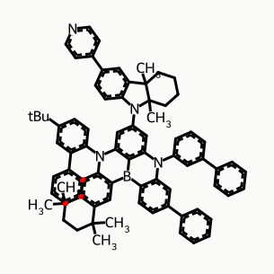 CC(C)(C)c1ccc(N2c3cc4c(cc3B3c5ccc(-c6ccccc6)cc5N(c5cccc(-c6ccccc6)c5)c5cc(N6c7ccc(-c8ccncc8)cc7C7(C)CCCCC67C)cc2c53)C(C)(C)CCC4(C)C)c(-c2ccccc2)c1